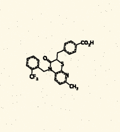 Cc1ccc2c(n1)SC(Cc1ccc(C(=O)O)cc1)C(=O)N2Cc1ccccc1C(F)(F)F